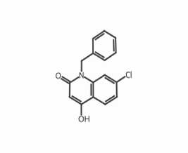 O=c1cc(O)c2ccc(Cl)cc2n1Cc1ccccc1